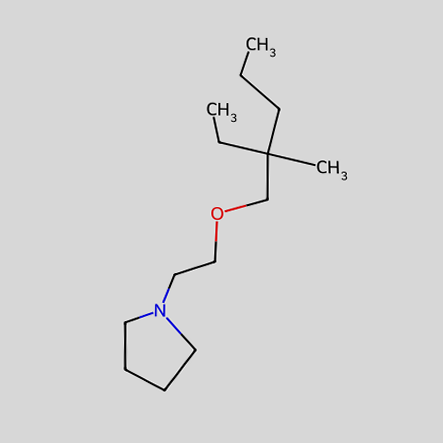 CCCC(C)(CC)COCCN1CCCC1